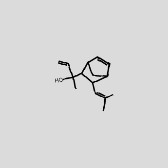 C=CC(C)(O)C1C2C=CC(C2)C1C=C(C)C